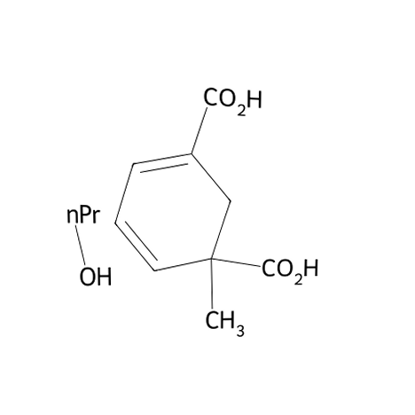 CC1(C(=O)O)C=CC=C(C(=O)O)C1.CCCO